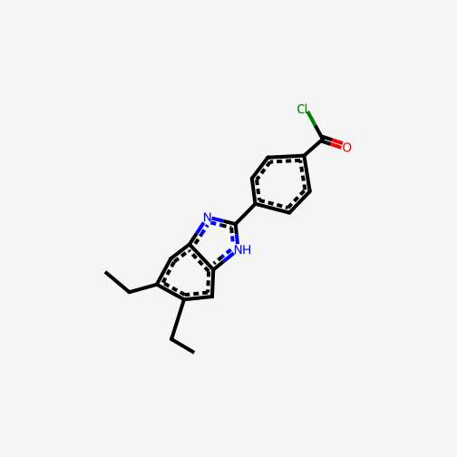 CCc1cc2nc(-c3ccc(C(=O)Cl)cc3)[nH]c2cc1CC